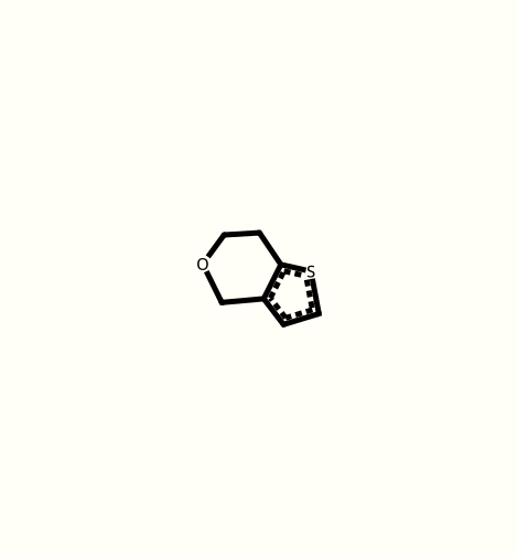 c1cc2c(s1)CCOC2